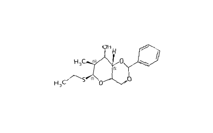 CCS[C@@H]1OC2COC(c3ccccc3)O[C@H]2C(O)[C@@H]1C